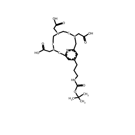 CC(C)(C)OC(=O)NCCCc1cc2nc(c1)CN(CC(=O)O)CCN(CC(=O)O)CCN(CC(=O)O)C2